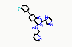 Fc1cccc(-c2ccc3c(NCc4ccccn4)nc(-c4cnccn4)nc3c2)c1